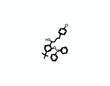 CC(C)(C)c1ccc(C(O)CCCc2ccc(Cl)cc2)c(O[SiH](c2ccccc2)c2ccccc2)c1